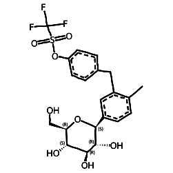 Cc1ccc([C@@H]2O[C@H](CO)[C@@H](O)[C@H](O)[C@H]2O)cc1Cc1ccc(OS(=O)(=O)C(F)(F)F)cc1